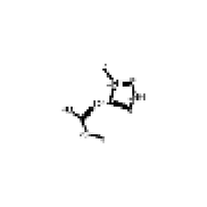 COC(=O)[O-].C[n+]1cc[nH]c1